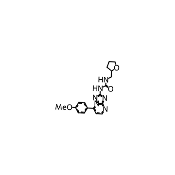 COc1ccc(-c2ccnc3nc(NC(=O)NCC4CCCO4)nn23)cc1